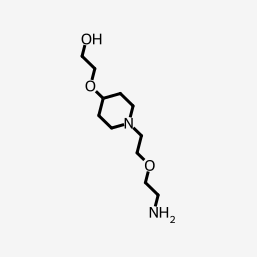 NCCOCCN1CCC(OCCO)CC1